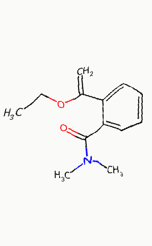 C=C(OCC)c1ccccc1C(=O)N(C)C